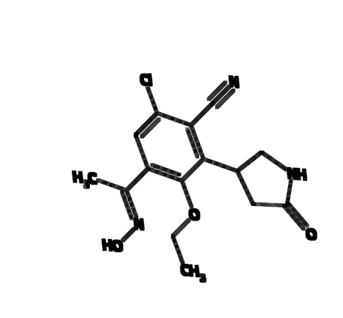 CCOc1c(C(C)=NO)cc(Cl)c(C#N)c1C1CNC(=O)C1